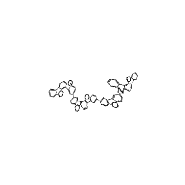 c1ccc2c(c1)oc1c2ccc2oc3ccc(-c4ccc5oc6ccc7c8cc(-c9ccc%10oc%11ccc(-n%12c%13ccccc%13c%13c%14oc%15ccccc%15c%14ccc%13%12)cc%11c%10c9)ccc8oc7c6c5c4)cc3c21